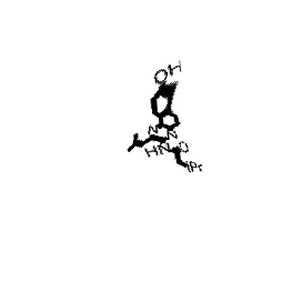 CC(C)=Cc1nc2c(nc1NC(=O)CC(C)C)CCc1cc(O)ccc1-2